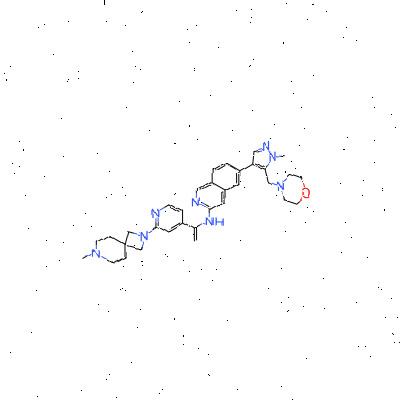 C=C(Nc1cc2cc(-c3cnn(C)c3CN3CCOCC3)ccc2cn1)c1ccnc(N2CC3(CCN(C)CC3)C2)c1